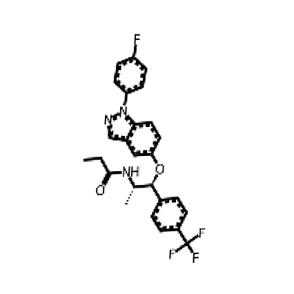 CCC(=O)N[C@@H](C)[C@@H](Oc1ccc2c(cnn2-c2ccc(F)cc2)c1)c1ccc(C(F)(F)F)cc1